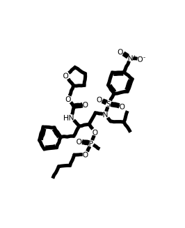 CCCCOP(C)(=O)OC(CN(CC(C)C)S(=O)(=O)c1ccc([N+](=O)[O-])cc1)C(Cc1ccccc1)NC(=O)OC1CCCO1